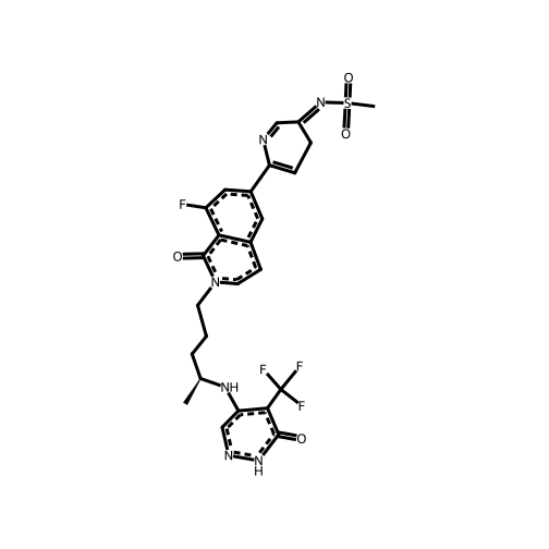 C[C@@H](CCCn1ccc2cc(C3=CCC(=NS(C)(=O)=O)C=N3)cc(F)c2c1=O)Nc1cn[nH]c(=O)c1C(F)(F)F